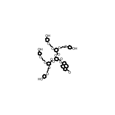 O=Cc1ccc2ccc3c(OC(=O)c4cc(OC(=O)c5cc(OCCCOc6ccc(O)cc6)cc(OCCCOc6ccc(O)cc6)c5)cc(OC(=O)c5cc(OCCCOc6ccc(O)cc6)cc(OCCCOc6ccc(O)cc6)c5)c4)ccc4ccc1c2c43